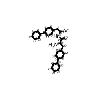 CC(=O)[C@H](Cc1ccc(-c2ccccc2)nc1)NC(=O)[C@@H](N)Cc1ccc(-c2ccccc2)cc1